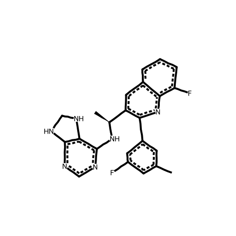 Cc1cc(F)cc(-c2nc3c(F)cccc3cc2[C@H](C)Nc2ncnc3c2NCN3)c1